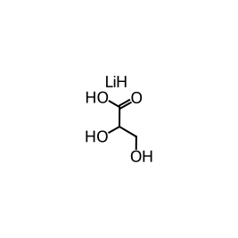 O=C(O)C(O)CO.[LiH]